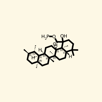 C[C@@H]1[C@H]2[C@H]3CC[C@@H]4[C@]5(C)[C@@H](CC[C@@]4(C)[C@]3(C)CC[C@@]2(C)CC[C@H]1C)C(C)(C)CCC5(O)C(=O)OP